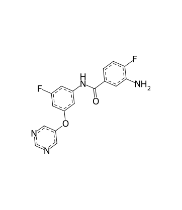 Nc1cc(C(=O)Nc2cc(F)cc(Oc3cncnc3)c2)ccc1F